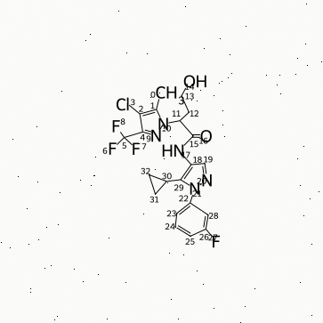 Cc1c(Cl)c(C(F)(F)F)nn1C(CCO)C(=O)Nc1cnn(-c2cccc(F)c2)c1C1CC1